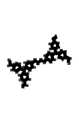 C=Cc1ccc(N(c2ccc(C=C)cc2)c2ccc(CCCCc3ccc(N(c4ccc(C=C)cc4)c4ccc(C=C)cc4)cc3)cc2)cc1